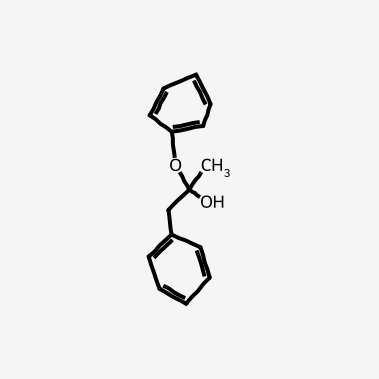 CC(O)(Cc1ccccc1)Oc1ccccc1